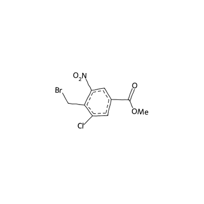 COC(=O)c1cc(Cl)c(CBr)c([N+](=O)[O-])c1